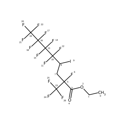 CCOC(=O)C(F)(CC(I)C(F)(F)C(F)(F)C(F)(F)C(F)(F)F)C(F)(F)F